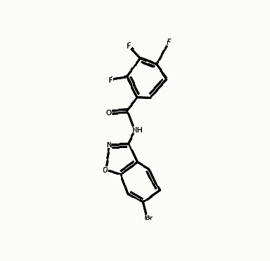 O=C(Nc1noc2cc(Br)ccc12)c1ccc(F)c(F)c1F